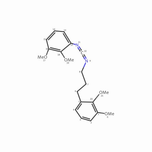 COc1cccc(CCCN=C=Nc2cccc(OC)c2OC)c1OC